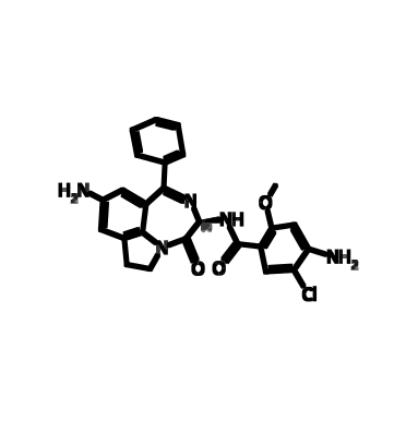 COc1cc(N)c(Cl)cc1C(=O)N[C@@H]1N=C(c2ccccc2)c2cc(N)cc3c2N(CC3)C1=O